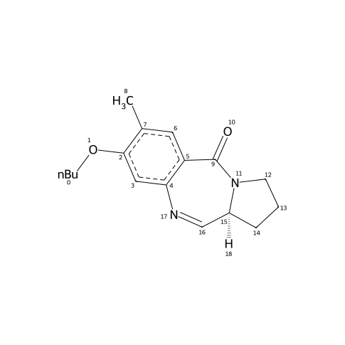 CCCCOc1cc2c(cc1C)C(=O)N1CCC[C@H]1C=N2